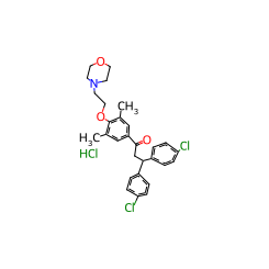 Cc1cc(C(=O)CC(c2ccc(Cl)cc2)c2ccc(Cl)cc2)cc(C)c1OCCN1CCOCC1.Cl